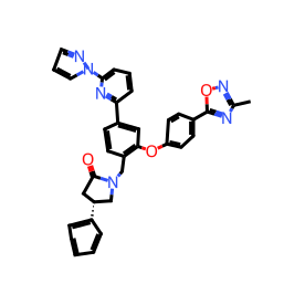 Cc1noc(-c2ccc(Oc3cc(-c4cccc(-n5cccn5)n4)ccc3CN3C[C@H](c4ccccc4)CC3=O)cc2)n1